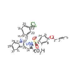 CC#CCOc1ccc(S(=O)(=O)N[C@@H](Cc2c(C)n(Cc3ccc(Cl)cc3)c3ccccc23)C(=O)O)cc1